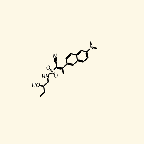 CCC(O)CNS(=O)(=O)/C(C#N)=C(\C)c1ccc2cc(N(C)C)ccc2c1